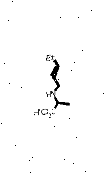 CCC=CCNC(C)C(=O)O